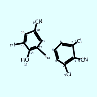 N#Cc1c(Cl)cccc1Cl.N#Cc1cc(I)c(O)c(I)c1